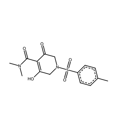 Cc1ccc(S(=O)(=O)N2CC(=O)C(C(=O)N(C)C)=C(O)C2)cc1